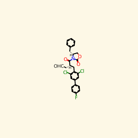 O=CC[C@@H](Cc1c(Cl)cc(-c2ccc(F)cc2)cc1Cl)C(=O)N1C(=O)OC[C@H]1Cc1ccccc1